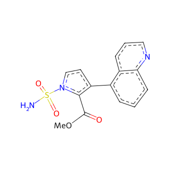 COC(=O)c1c(-c2cccc3ncccc23)ccn1S(N)(=O)=O